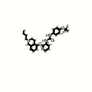 CCCCN1CCc2c(cccc2Oc2ncccc2NC(=O)Nc2ccc(OC(F)(F)F)cc2)C1